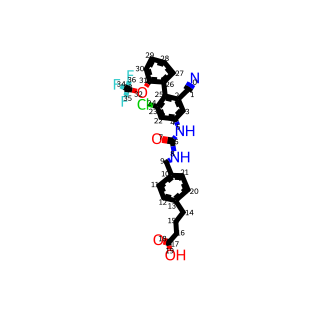 N#Cc1cc(NC(=O)NCc2ccc(CCCC(=O)O)cc2)cc(Cl)c1-c1ccccc1OC(F)(F)F